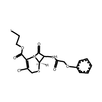 O=C(COc1ccccc1)NC1C(=O)N2C(C(=O)OCCI)=C(Cl)CS[C@H]12